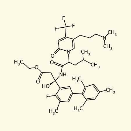 CCOC(=O)C[C@](O)(NC(=O)C(CC(C)C)n1cc(CCCN(C)C)c(C(F)(F)F)cc1=O)c1cc(-c2c(C)cc(C)cc2C)cc(C)c1F